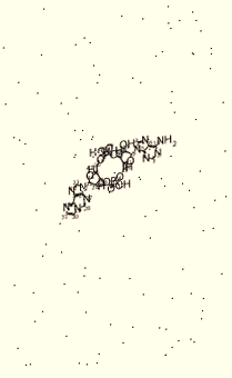 Nc1ncnc2c1ncn2[C@@H]1O[C@@H]2COP(=O)(O)O[C@H]3C[C@H](n4cnc5c4ncn4ccnc54)O[C@@H]3COP(=O)(O)O[C@H]2[C@H]1O